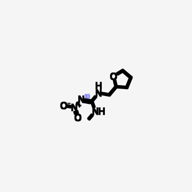 CN/C(=N\[N+](=O)[O-])NCC1CCCO1